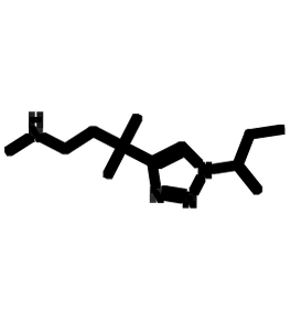 CCC(C)n1cc(C(C)(C)CCNC)nn1